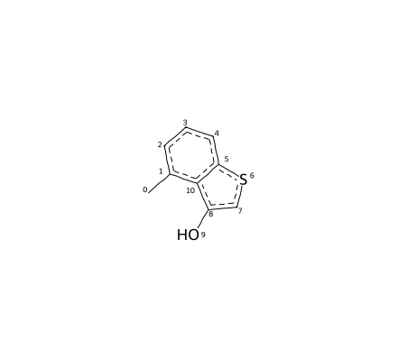 Cc1cccc2scc(O)c12